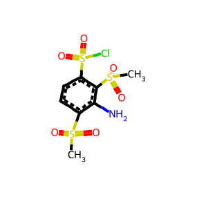 CS(=O)(=O)c1ccc(S(=O)(=O)Cl)c(S(C)(=O)=O)c1N